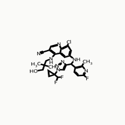 Cc1nc(F)ccc1C(Nc1cc(Cl)c2ncc(C#N)c(NCC(C)(C)CO)c2c1)c1cn(C2(C(F)F)CC2)nn1